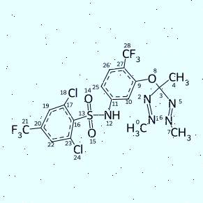 CN=NC(C)(N=NC)Oc1cc(NS(=O)(=O)c2c(Cl)cc(C(F)(F)F)cc2Cl)ccc1C(F)(F)F